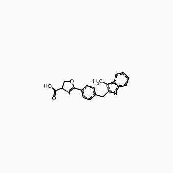 Cn1c(Cc2ccc(C3=NC(C(=O)O)CO3)cc2)nc2ccccc21